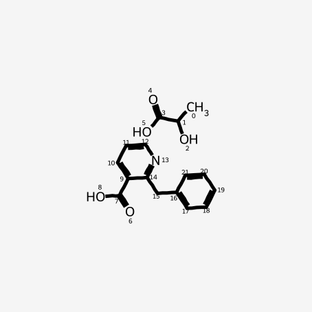 CC(O)C(=O)O.O=C(O)c1cccnc1Cc1ccccc1